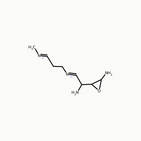 C/N=C/CC/N=C/C(N)C1OC1N